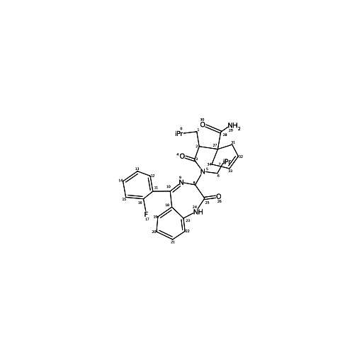 CC(C)CC(C(=O)N(CC(C)C)C1N=C(c2ccccc2F)c2ccccc2NC1=O)C1(C(N)=O)CC=CC1